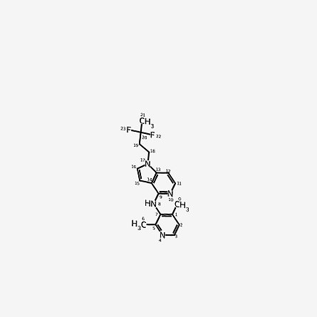 Cc1ccnc(C)c1Nc1nccc2c1ccn2CCC(C)(F)F